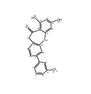 O=C1Cc2ccc(-c3cccc(C(F)(F)F)c3)cc2Sc2cc(O)cc(O)c21